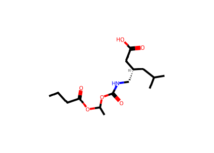 CCCC(=O)OC(C)OC(=O)NC[C@H](CC(=O)O)CC(C)C